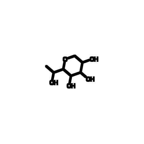 CC(O)C1OCC(O)C(O)C1O